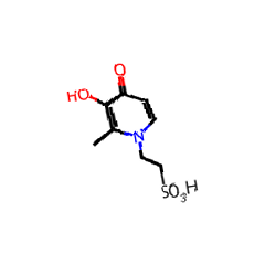 Cc1c(O)c(=O)ccn1CCS(=O)(=O)O